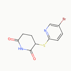 O=C1CCC(Sc2ccc(Br)cn2)C(=O)N1